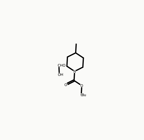 CC1CCN(C(=O)OC(C)(C)C)CC1.O=CO